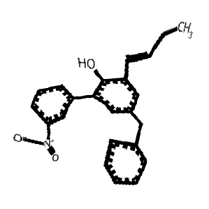 CCC=Cc1cc(Cc2ccccc2)cc(-c2cccc([N+](=O)[O-])c2)c1O